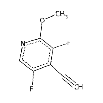 C#Cc1c(F)cnc(OC)c1F